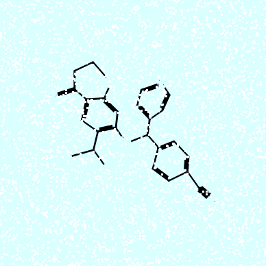 CC(C)c1cc2c(cc1OC(c1ccncc1)c1ccc(C#N)cc1)OCCC2=O